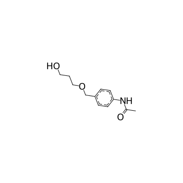 CC(=O)Nc1ccc(COCCCO)cc1